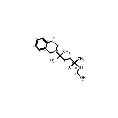 CC(C)(CCC(C)(C)N1COc2ccccc2C1)NCO